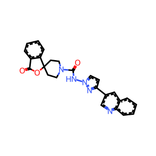 O=C1OC2(CCN(C(=O)Nn3ccc(-c4cnc5ccccc5c4)n3)CC2)c2ccccc21